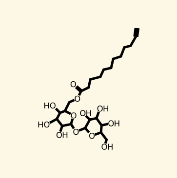 C#CCCCCCCCCCC(=O)OCC1OC(OC2OC(CO)C(O)C(O)C2O)C(O)C(O)C1O